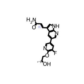 C[C@@H](O)COc1ncc(-c2cnc3[nH]cc(/C=C/C(N)=O)c3c2)cc1F